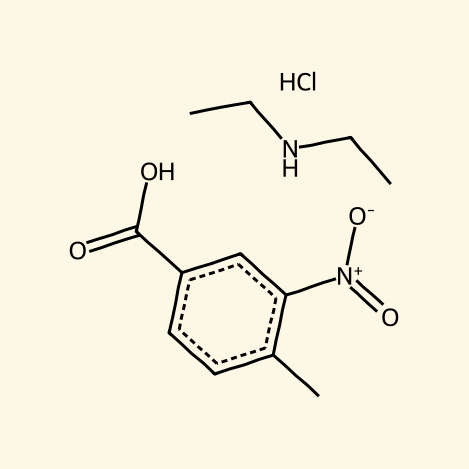 CCNCC.Cc1ccc(C(=O)O)cc1[N+](=O)[O-].Cl